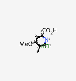 COc1cc(C(=O)O)ncc1C.Cl